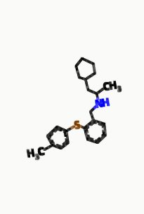 Cc1ccc(Sc2ccccc2CNC(C)CC2CCCCC2)cc1